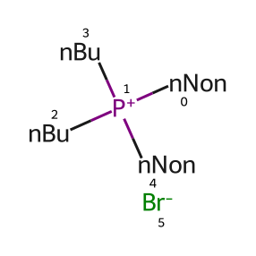 CCCCCCCCC[P+](CCCC)(CCCC)CCCCCCCCC.[Br-]